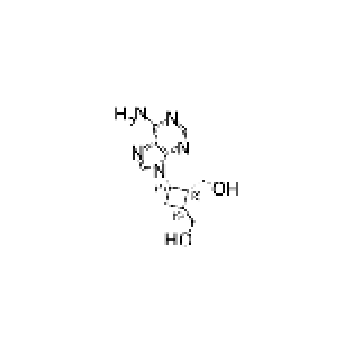 Nc1ncnc2c1ncn2[C@H]1C[C@H](CO)[C@H]1CO